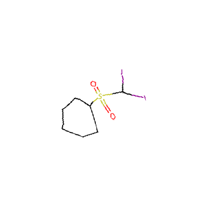 O=S(=O)(C(I)I)C1CCCCC1